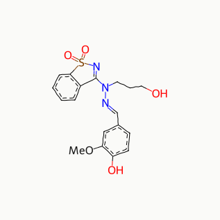 COc1cc(/C=N/N(CCCO)C2=NS(=O)(=O)c3ccccc32)ccc1O